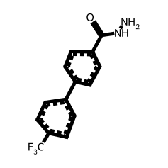 NNC(=O)c1ccc(-c2ccc(C(F)(F)F)cc2)cc1